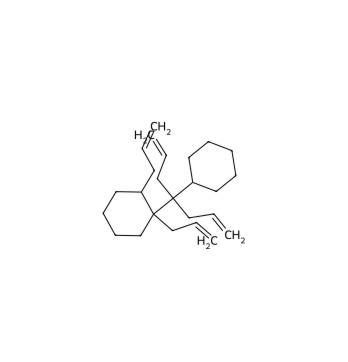 C=CCC1CCCCC1(CC=C)C(CC=C)(CC=C)C1CCCCC1